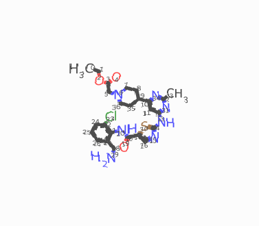 CCOC(=O)CN1CCC(c2cc(Nc3ncc(C(=O)Nc4c(Cl)cccc4CN)s3)nc(C)n2)CC1